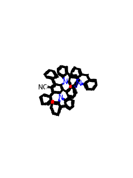 N#Cc1c(-c2ccccc2)c(-n2c3ccccc3c3ccccc32)c(-c2cccc(N3c4ccccc4Cc4ccccc43)c2)c(-n2c3ccccc3c3ccccc32)c1-c1ccccc1